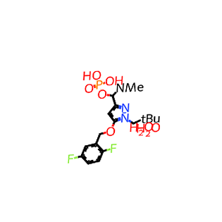 CNC(OP(=O)(O)O)c1cc(OCc2cc(F)ccc2F)n(CC(C)(C)C)n1.O.O